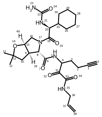 C#CCCC(NC(=O)[C@@H]1[C@H]2CC(C)(C)O[C@H]2CN1C(=O)[C@@H](NC(N)=O)C1CCCCC1)C(=O)C(=O)NCC=C